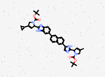 CC1=CC(c2ncc(-c3ccc4cc(-c5ccc6nc(C7C=C(C8CC8)CN7C(=O)OC(C)(C)C)[nH]c6c5)ccc4c3)[nH]2)N(C(=O)OC(C)(C)C)C1